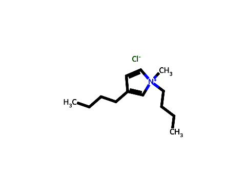 CCCCC1=C[N+](C)(CCCC)C=C1.[Cl-]